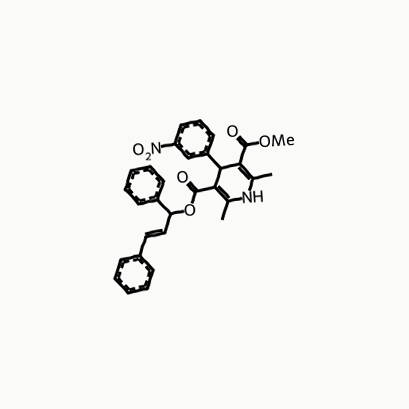 COC(=O)C1=C(C)NC(C)=C(C(=O)OC(C=Cc2ccccc2)c2ccccc2)C1c1cccc([N+](=O)[O-])c1